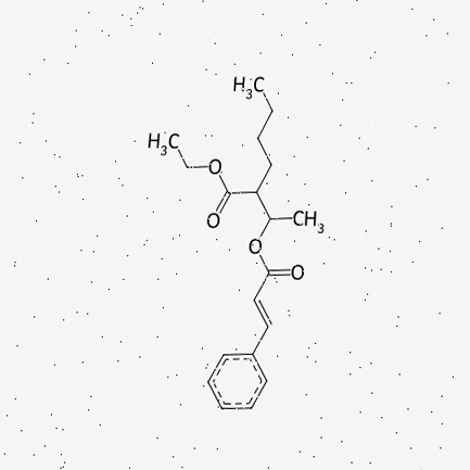 CCCCC(C(=O)OCC)C(C)OC(=O)/C=C/c1ccccc1